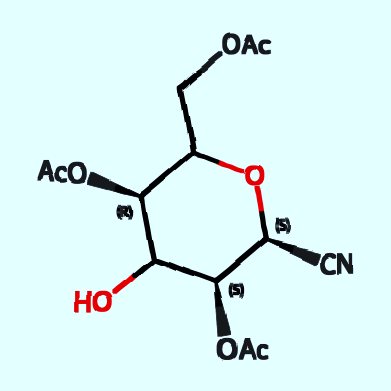 CC(=O)OCC1O[C@@H](C#N)[C@@H](OC(C)=O)C(O)[C@H]1OC(C)=O